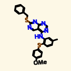 COc1ccc(Sc2ccc(C)cc2Nc2ncnc3nc(SCc4ccccc4)ncc23)cc1